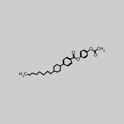 CCCCCCCCC1CCC(c2ccc(C(=O)Oc3ccc(OC(C)=O)cc3)cc2)CC1